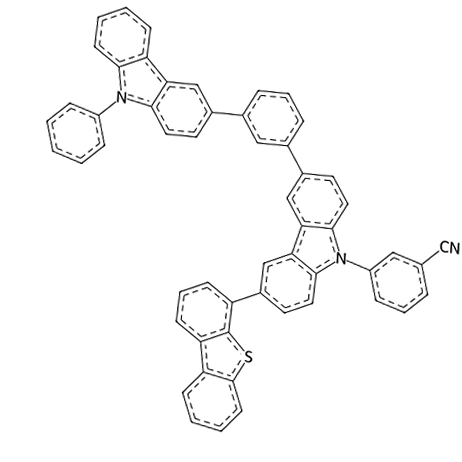 N#Cc1cccc(-n2c3ccc(-c4cccc(-c5ccc6c(c5)c5ccccc5n6-c5ccccc5)c4)cc3c3cc(-c4cccc5c4sc4ccccc45)ccc32)c1